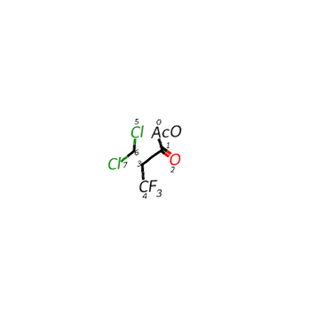 CC(=O)OC(=O)CC(F)(F)F.ClCCl